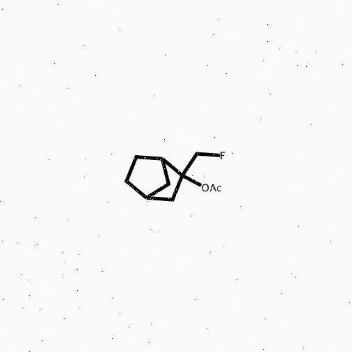 CC(=O)OC1(CF)CC2CCC1C2